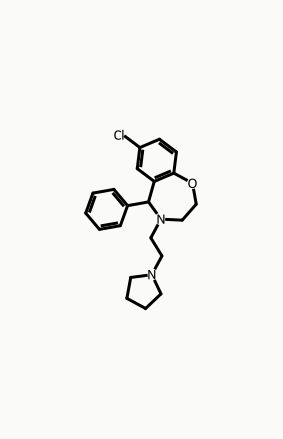 Clc1ccc2c(c1)C(c1ccccc1)N(CCN1CCCC1)CCO2